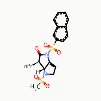 CCC[C@H]1C(=O)N(S(=O)(=O)c2ccc3ccccc3c2)C2=CCN(S(C)(=O)=O)[C@@H]21